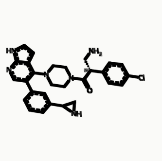 NC[C@@H](C(=O)N1CCN(c2c(-c3cccc(C4CN4)c3)cnc3[nH]ccc23)CC1)c1ccc(Cl)cc1